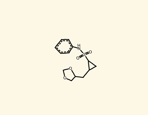 O=S(=O)(Nc1ccccc1)C1CC1CC1COCO1